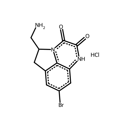 Cl.NCC1Cc2cc(Br)cc3[nH]c(=O)c(=O)n1c23